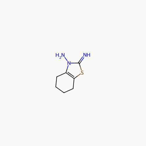 N=c1sc2c(n1N)CCCC2